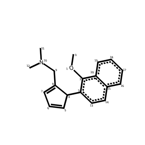 COc1c(C2C=CC=C2CN(C)C)ccc2ccccc12